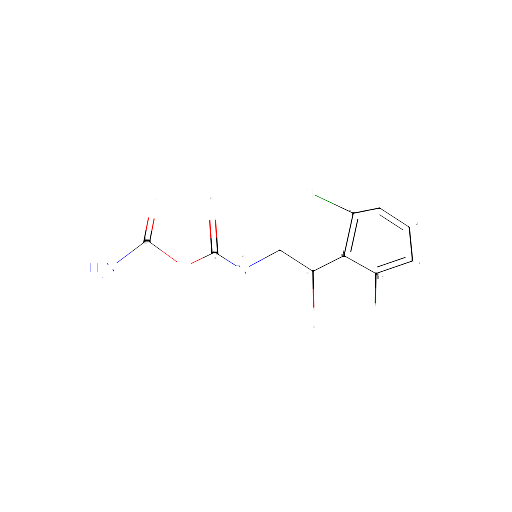 NC(=O)OC(=O)NCC(O)c1c(Cl)cccc1Cl